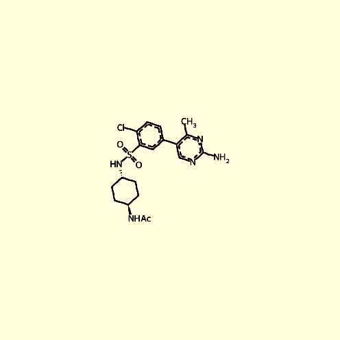 CC(=O)N[C@H]1CC[C@H](NS(=O)(=O)c2cc(-c3cnc(N)nc3C)ccc2Cl)CC1